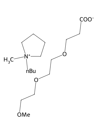 CCCC[N+]1(C)CCCC1.COCCOCCOCCC(=O)[O-]